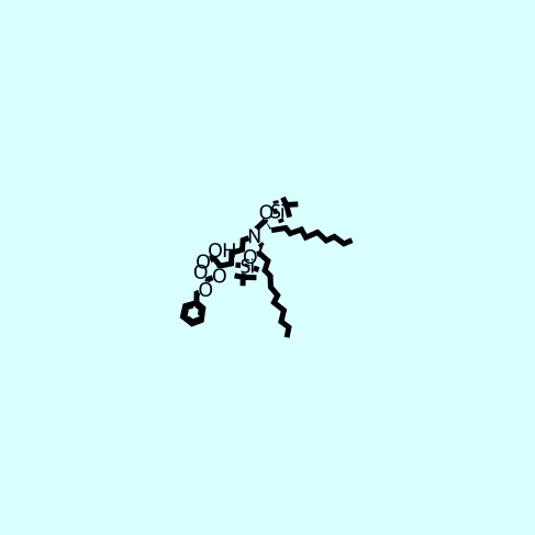 CCCCCCCCCC[C@H](CN(CCCCC(OC(=O)OCc1ccccc1)C(=O)O)C[C@@H](CCCCCCCCCC)O[Si](C)(C)C(C)(C)C)O[Si](C)(C)C(C)(C)C